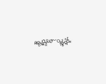 C[C@@H]1CN(CCC[C@H]2CC[C@H](N3C(=S)N(c4cnc(C#N)c(C(F)(F)F)c4)C(=O)C3(C)C)CC2)C[C@H](C)N1CC(=O)Nc1cccc2c(N3CCC(=O)NC3=O)nn(C)c12